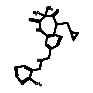 Cc1ncccc1CNCc1ccc2c(c1)NC(=O)C(C)(C)C(=O)N2CC1CC1